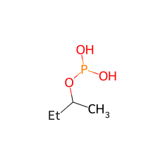 CCC(C)OP(O)O